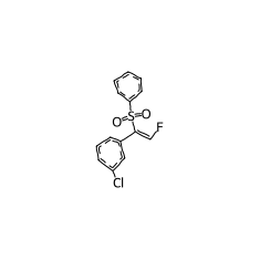 O=S(=O)(C(=CF)c1cccc(Cl)c1)c1ccccc1